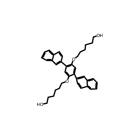 OCCCCCCOc1cc(-c2ccc3ccccc3c2)c(OCCCCCCO)cc1-c1ccc2ccccc2c1